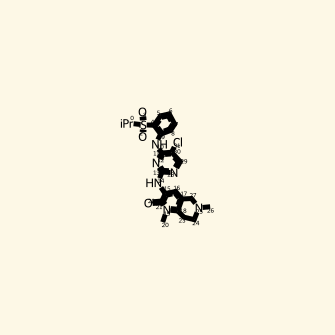 CC(C)S(=O)(=O)c1ccccc1Nc1nc(Nc2cc3c(n(C)c2=O)CCN(C)C3)ncc1Cl